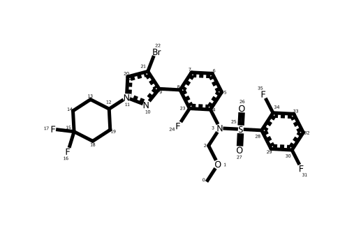 COCN(c1cccc(-c2nn(C3CCC(F)(F)CC3)cc2Br)c1F)S(=O)(=O)c1cc(F)ccc1F